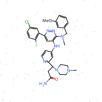 COc1cccc(CN(C)c2nnc(-c3cc(Cl)ccc3F)cc2Nc2ccnc(C(CC(N)=O)N3CCN(C)CC3)c2)c1